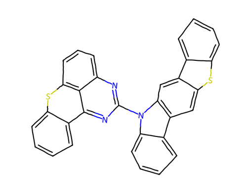 c1ccc2c(c1)Sc1cccc3nc(-n4c5ccccc5c5cc6sc7ccccc7c6cc54)nc-2c13